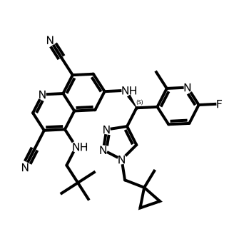 Cc1nc(F)ccc1[C@H](Nc1cc(C#N)c2ncc(C#N)c(NCC(C)(C)C)c2c1)c1cn(CC2(C)CC2)nn1